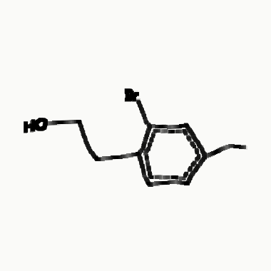 Cc1ccc(CCO)c(Br)c1